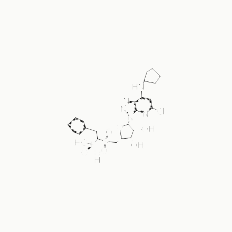 O=P(O)(O)C(Cc1ccccc1)S(=O)(=O)C[C@H]1O[C@@H](n2nnc3c(NC4CCCC4)cc(Cl)nc32)[C@H](O)[C@@H]1O